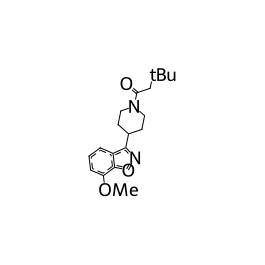 COc1cccc2c(C3CCN(C(=O)CC(C)(C)C)CC3)noc12